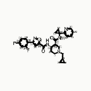 O=C(N[C@H]1CCN(CC2CC2)C[C@@H]1C(=O)NC1(c2ccccn2)CC1)c1cc(-c2ccc(F)cc2F)no1